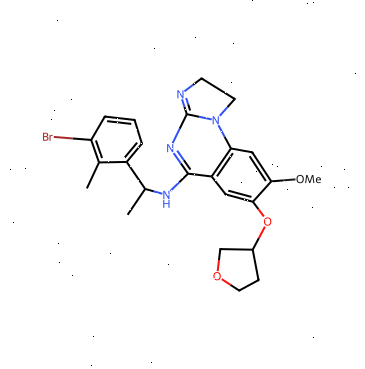 COc1cc2c(cc1OC1CCOC1)C(NC(C)c1cccc(Br)c1C)=NC1=NCCN12